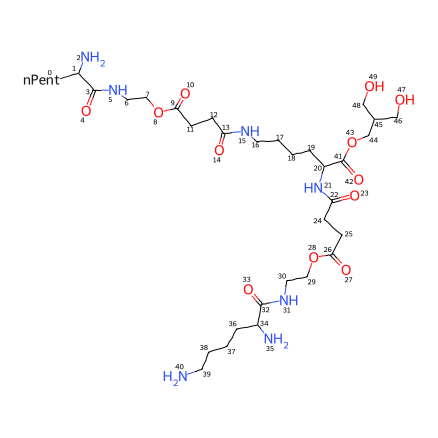 CCCCCC(N)C(=O)NCCOC(=O)CCC(=O)NCCCCC(NC(=O)CCC(=O)OCCNC(=O)C(N)CCCCN)C(=O)OCC(CO)CO